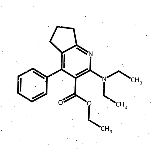 CCOC(=O)c1c(N(CC)CC)nc2c(c1-c1ccccc1)CCC2